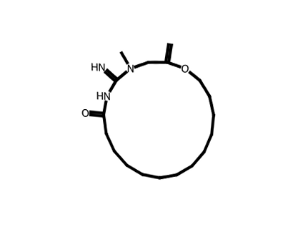 C=C1CN(C)C(=N)NC(=O)CCCCCCCCCCCCO1